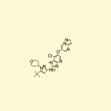 Cn1c(Nc2cc(C(C)(C)C)n(C3CCOCC3)n2)nc2ncc(Oc3cnc4ccnn4c3)c(Cl)c21